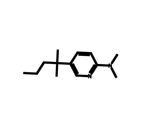 CCCC(C)(C)c1ccc(N(C)C)nc1